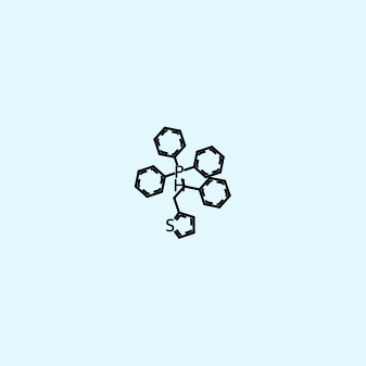 c1ccc(C(Cc2cccs2)[PH](c2ccccc2)(c2ccccc2)c2ccccc2)cc1